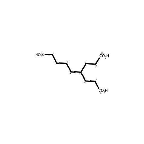 O=C(O)CCCCC(CCC(=O)O)CCC(=O)O